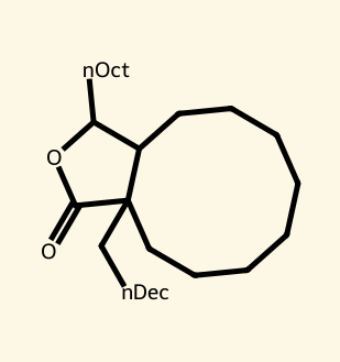 CCCCCCCCCCCC12CCCCCCCCC1C(CCCCCCCC)OC2=O